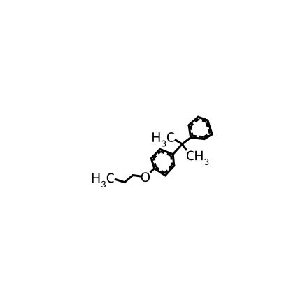 CCCOc1ccc(C(C)(C)c2ccccc2)cc1